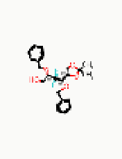 CC1(C)OC[C@H]([C@H](OCc2ccccc2)C(F)(F)[C@@H](CO)OCc2ccccc2)O1